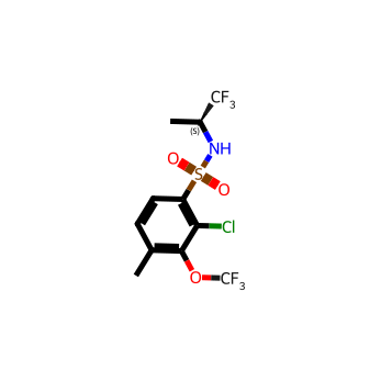 Cc1ccc(S(=O)(=O)N[C@@H](C)C(F)(F)F)c(Cl)c1OC(F)(F)F